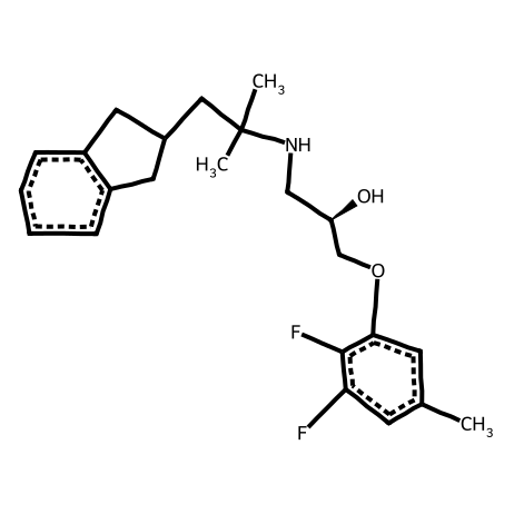 Cc1cc(F)c(F)c(OC[C@H](O)CNC(C)(C)CC2Cc3ccccc3C2)c1